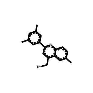 Cc1cc(C)cc(-c2cc(CC(C)C)c3cc(C)ccc3n2)c1